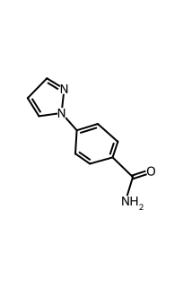 NC(=O)c1ccc(-n2cccn2)cc1